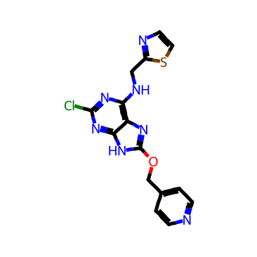 Clc1nc(NCc2nccs2)c2nc(OCc3ccncc3)[nH]c2n1